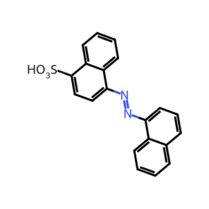 O=S(=O)(O)c1ccc(N=Nc2cccc3ccccc23)c2ccccc12